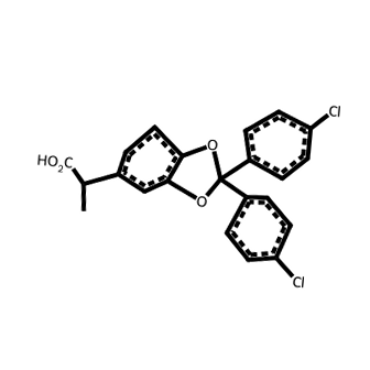 CC(C(=O)O)c1ccc2c(c1)OC(c1ccc(Cl)cc1)(c1ccc(Cl)cc1)O2